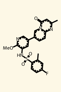 COc1ncc(-c2ccc3nc(C)cc(=O)n3c2)cc1NS(=O)(=O)c1ccc(F)cc1C